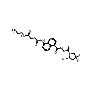 N#C[C@@H]1CC(F)(F)CN1C(=O)CNC(=O)c1cccc2c(NC(=O)CCC(=O)NCCN)cccc12